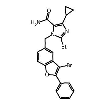 CCc1nc(C2CC2)c(C(N)=O)n1Cc1ccc2oc(-c3ccccc3)c(Br)c2c1